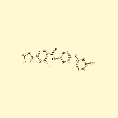 O=C(Nc1ccc(Oc2cccc(Cl)c2)cc1)c1ccc(N2CCCC2)cc1Cl